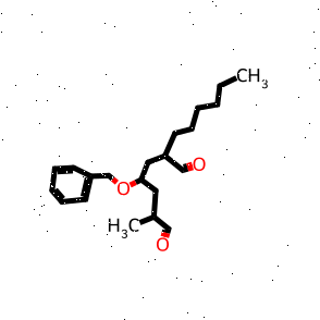 CCCCCCC(C=O)CC(CC(C)C=O)OCc1ccccc1